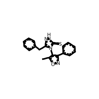 Cc1onc(-c2ccccc2)c1-n1c(Cc2ccccc2)n[nH]c1=S